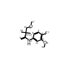 C=C(Nc1ccc(F)c(OC)c1)C(C)(C)COC